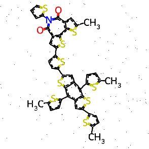 Cc1ccc(-c2cc3c(-c4ccc(C)s4)c4sc(-c5ccc(-c6cc7c(=O)n(-c8cccs8)c(=O)c8cc(C)sc8c7s6)s5)cc4c(-c4ccc(C)s4)c3s2)s1